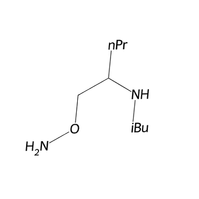 CCCC(CON)NC(C)CC